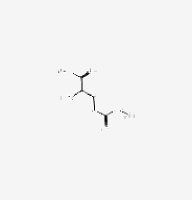 COC(=O)C(N)CCC(=O)OC(C)C